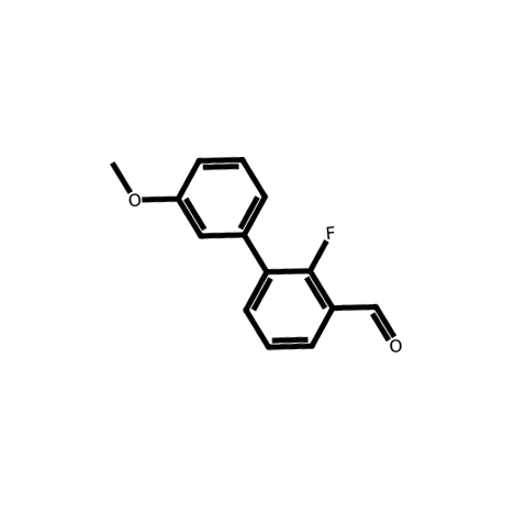 COc1cccc(-c2cccc(C=O)c2F)c1